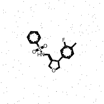 Cc1ccc(C2COCC2=CNS(=O)(=O)c2ccccc2)cc1F